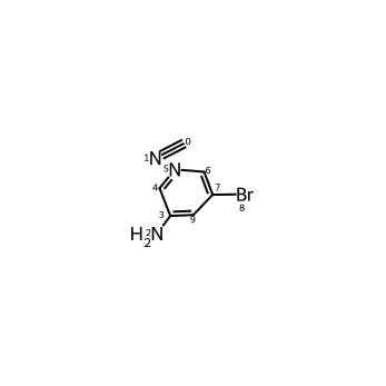 C#N.Nc1cncc(Br)c1